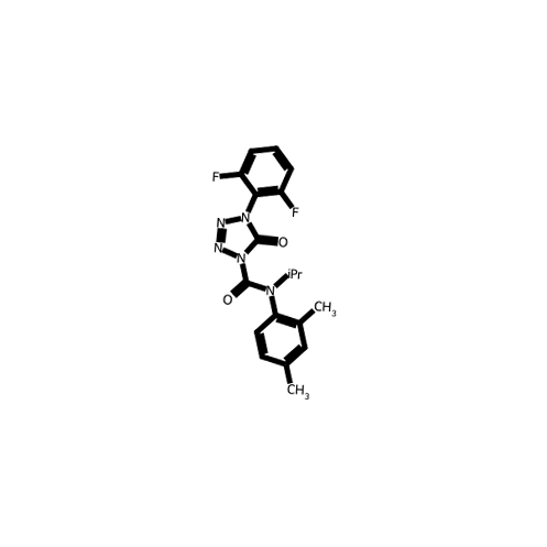 Cc1ccc(N(C(=O)n2nnn(-c3c(F)cccc3F)c2=O)C(C)C)c(C)c1